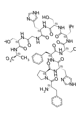 CC(C)C[C@H](NC(=O)[C@H](CC(=O)O)NC(=O)[C@H](Cc1ccccc1)NC(=O)[C@H](Cc1c[nH]cn1)NC(=O)[C@@H]1CCCN1C(=O)[C@@H](N)Cc1ccccc1)C(=O)N[C@@H](CO)C(=O)N[C@@H](Cc1c[nH]cn1)C(=O)NCC(=O)N[C@@H](CO)C(=O)N[C@@H](C)C(=O)O